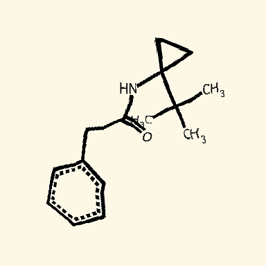 CC(C)(C)C1(NC(=O)Cc2ccccc2)CC1